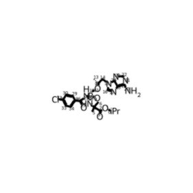 CC(C)OC(=O)C(C)(C)N[P@@](=O)(CO[C@H](C)Cn1cnc2c(N)ncnc21)NC(=O)c1ccc(Cl)cc1